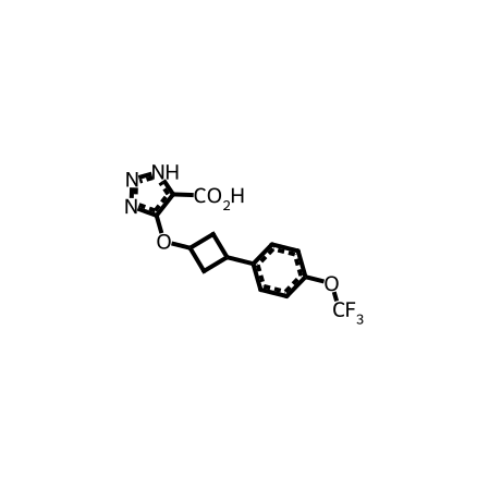 O=C(O)c1[nH]nnc1OC1CC(c2ccc(OC(F)(F)F)cc2)C1